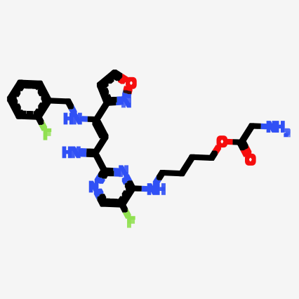 N=C(/C=C(\NCc1ccccc1F)c1ccon1)c1ncc(F)c(NCCCCOC(=O)CN)n1